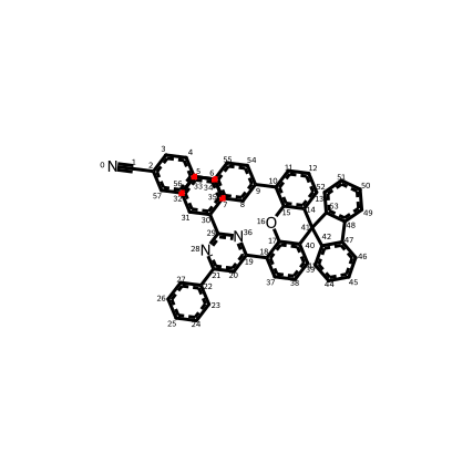 N#Cc1ccc(-c2ccc(-c3cccc4c3Oc3c(-c5cc(-c6ccccc6)nc(-c6ccccc6)n5)cccc3C43c4ccccc4-c4ccccc43)cc2)cc1